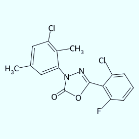 Cc1cc(Cl)c(C)c(-n2nc(-c3c(F)cccc3Cl)oc2=O)c1